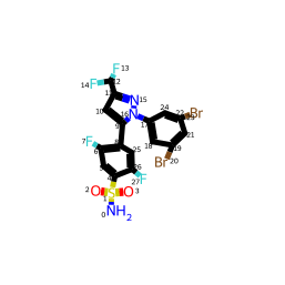 NS(=O)(=O)c1cc(F)c(-c2cc(C(F)F)nn2-c2cc(Br)cc(Br)c2)cc1F